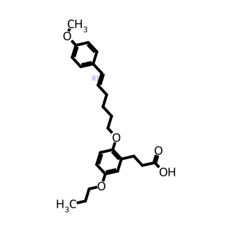 CCCOc1ccc(OCCCC/C=C/c2ccc(OC)cc2)c(CCC(=O)O)c1